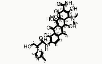 Cc1cn(C(CO)C(=O)Nc2ccc3c(c2O)C(=O)C2=C(O)[C@]4(O)C(=O)C(C(N)=O)=C(O)[C@@H](N(C)C)C4C(O)C2C3C)cn1